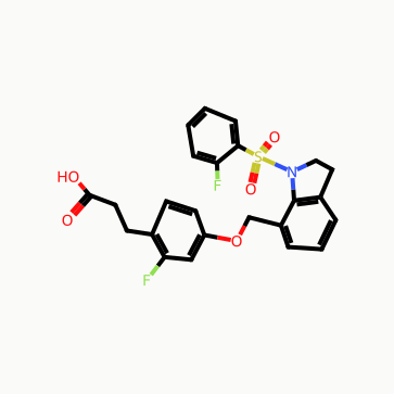 O=C(O)CCc1ccc(OCc2cccc3c2N(S(=O)(=O)c2ccccc2F)CC3)cc1F